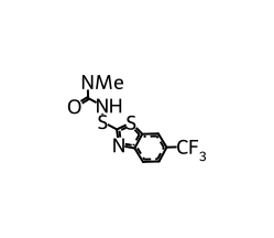 CNC(=O)NSc1nc2ccc(C(F)(F)F)cc2s1